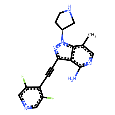 Cc1cnc(N)c2c(C#Cc3c(F)cncc3F)nn([C@H]3CCNC3)c12